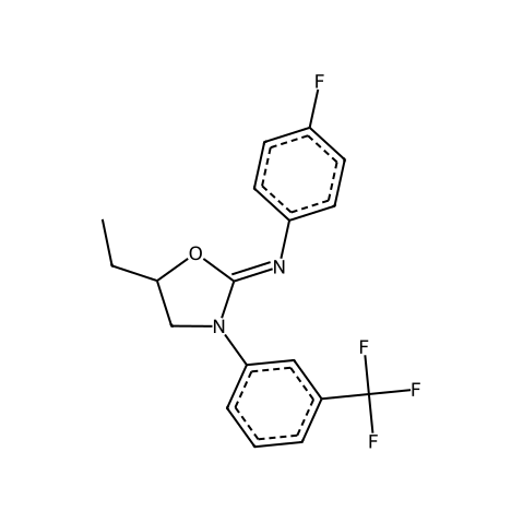 CCC1CN(c2cccc(C(F)(F)F)c2)C(=Nc2ccc(F)cc2)O1